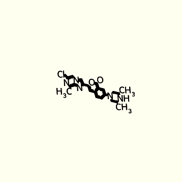 Cc1nc(Cl)cn2cc(-c3cc4ccc(N5C[C@@H](C)N[C@@H](C)C5)cc4c(=O)o3)nc12